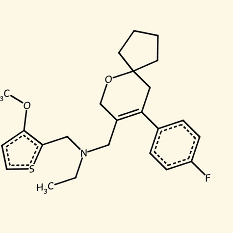 CCN(CC1=C(c2ccc(F)cc2)CC2(CCCC2)OC1)Cc1sccc1OC